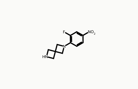 O=[N+]([O-])c1ccc(N2CC3(CNC3)C2)c(F)c1